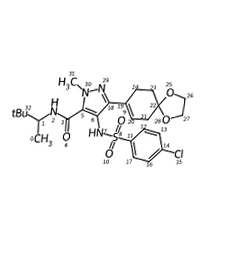 CC(NC(=O)c1c(NS(=O)(=O)c2ccc(Cl)cc2)c(C2=CCC3(CC2)OCCO3)nn1C)C(C)(C)C